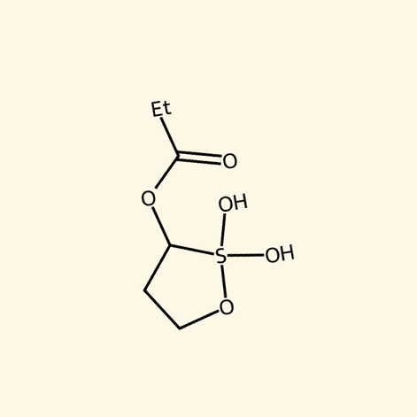 CCC(=O)OC1CCOS1(O)O